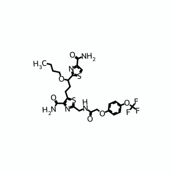 CCCCOC(CCc1sc(CNC(=O)COc2ccc(OC(F)(F)F)cc2)nc1C(N)=O)c1nc(C(N)=O)cs1